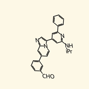 CC(C)Nc1cc(-c2cnc3cc(-c4cccc(C=O)c4)ccn23)cc(-c2ccccc2)n1